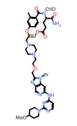 COC1CCN(c2nccc(Nc3cc4c(cn3)nc(COCCN3CCN(CCOc5ccc(C(=O)N(C=O)C(CCC(=O)OC(C)(C)C)C(N)=O)c(C)c5)CC3)n4C(C)C)n2)CC1